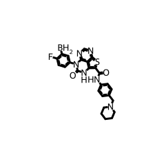 Bc1cc(N2C(=O)Nc3c(C(=O)Nc4ccc(CN5CCCCC5)cc4)sc4ncnc2c34)ccc1F